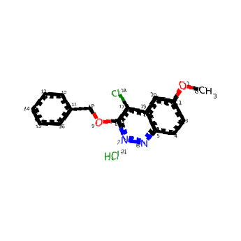 COc1ccc2nnc(OCc3ccccc3)c(Cl)c2c1.Cl